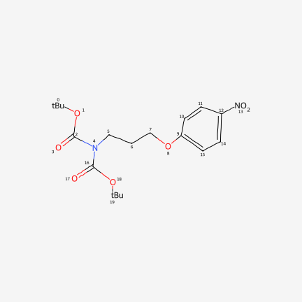 CC(C)(C)OC(=O)N(CCCOc1ccc([N+](=O)[O-])cc1)C(=O)OC(C)(C)C